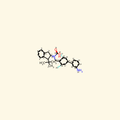 CC(C)(C)C1c2ccccc2CC1N(Cc1c(F)cc(-c2cccc(N)c2)cc1F)C(=O)O